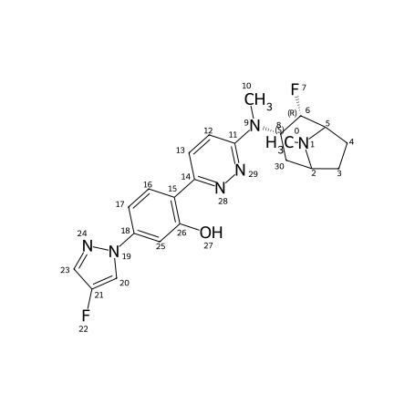 CN1C2CCC1[C@@H](F)[C@@H](N(C)c1ccc(-c3ccc(-n4cc(F)cn4)cc3O)nn1)C2